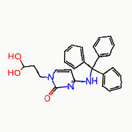 O=c1nc(NC(c2ccccc2)(c2ccccc2)c2ccccc2)ccn1CCC(O)O